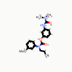 COc1cccc(N(CCC#N)C(=O)Oc2cccc(NC(=O)N(C)C)c2)c1